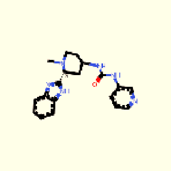 CN1CCC(NC(=O)Nc2cccnc2)C[C@@H]1c1nc2ccccc2[nH]1